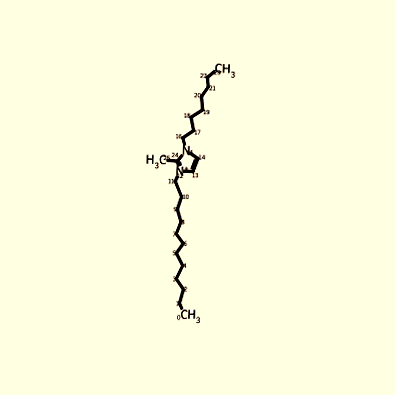 CCCCCCCCCCCC[n+]1ccn(CCCCCCCC)c1C